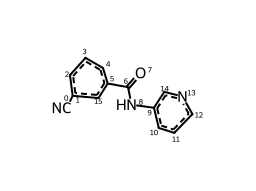 N#Cc1cccc(C(=O)Nc2cccnc2)c1